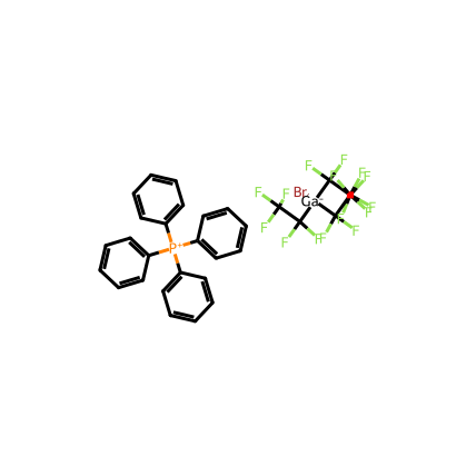 FC(F)(F)[C](F)(F)[Ga-]([Br])([C](F)(F)C(F)(F)F)[C](F)(F)C(F)(F)F.c1ccc([P+](c2ccccc2)(c2ccccc2)c2ccccc2)cc1